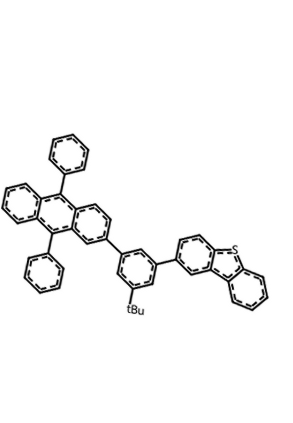 CC(C)(C)c1cc(-c2ccc3c(-c4ccccc4)c4ccccc4c(-c4ccccc4)c3c2)cc(-c2ccc3sc4ccccc4c3c2)c1